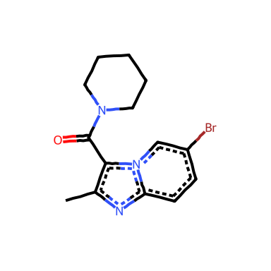 Cc1nc2ccc(Br)cn2c1C(=O)N1CCCCC1